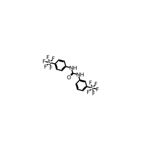 O=C(Nc1ccc(S(F)(F)(F)(F)F)cc1)Nc1cccc(S(F)(F)(F)(F)F)c1